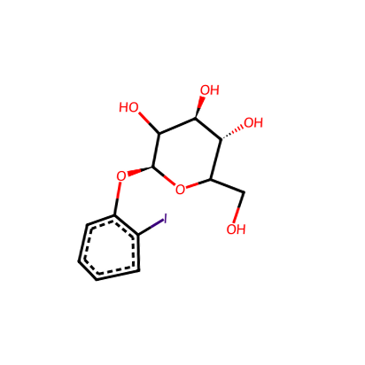 OCC1O[C@@H](Oc2ccccc2I)C(O)[C@@H](O)[C@@H]1O